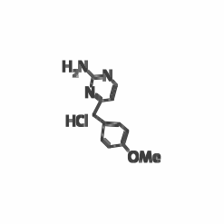 COc1ccc(Cc2ccnc(N)n2)cc1.Cl